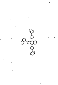 c1ccc(-c2ccc(-c3c4ccccc4c(-c4ccc(-c5cccnc5)cc4)c4cc(-c5cccc6ccccc56)ccc34)cc2)nc1